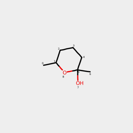 CC1CCCC(C)(O)O1